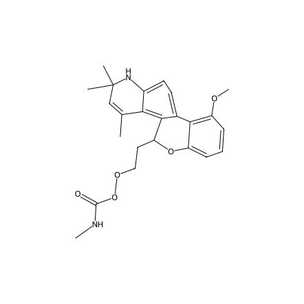 CNC(=O)OOCCC1Oc2cccc(OC)c2-c2ccc3c(c21)C(C)=CC(C)(C)N3